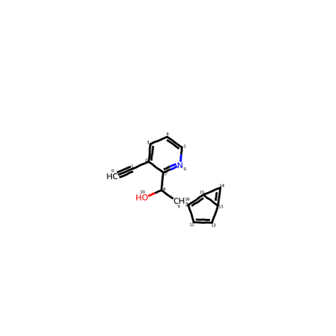 C#Cc1cccnc1C(C)O.c1cc2cc-2c1